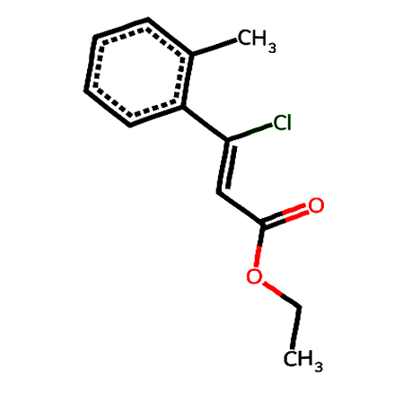 CCOC(=O)C=C(Cl)c1ccccc1C